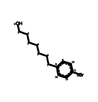 OCCCCCCCc1ccc(Br)cc1